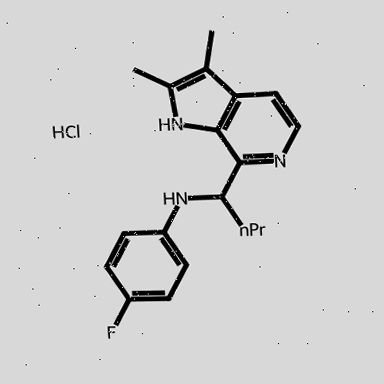 CCCC(Nc1ccc(F)cc1)c1nccc2c(C)c(C)[nH]c12.Cl